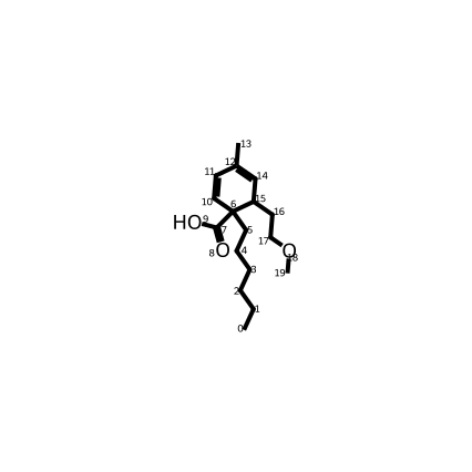 CCCCCCC1(C(=O)O)C=CC(C)=CC1CCOC